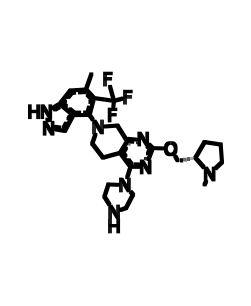 Cc1cc2[nH]ncc2c(N2CCc3c(nc(OC[C@@H]4CCCN4C)nc3N3CCNCC3)C2)c1C(F)(F)F